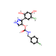 O=C(NCc1ccc(F)cc1)Oc1c[nH]nc1-c1cc(Cl)c(O)cc1O